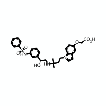 CC(C)(CCn1ccc2cc(OCC(=O)O)ccc21)NC[C@H](O)c1cccc(NS(=O)(=O)c2ccccc2)c1